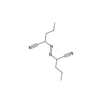 CCCC(C#N)N=NC(C#N)CCC